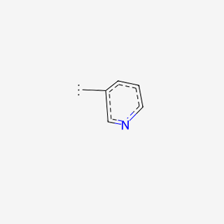 [C]c1cccnc1